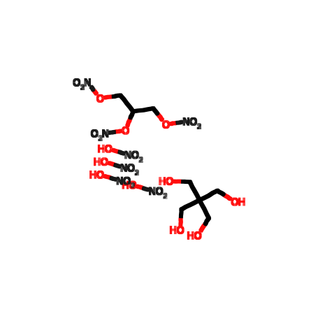 O=[N+]([O-])O.O=[N+]([O-])O.O=[N+]([O-])O.O=[N+]([O-])O.O=[N+]([O-])OCC(CO[N+](=O)[O-])O[N+](=O)[O-].OCC(CO)(CO)CO